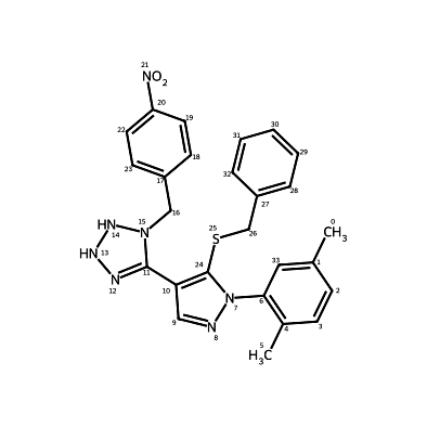 Cc1ccc(C)c(-n2ncc(C3=NNNN3Cc3ccc([N+](=O)[O-])cc3)c2SCc2ccccc2)c1